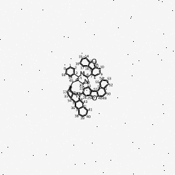 c1ccc(C2N=C(c3cccc4oc5ccccc5c34)N=C3c4cc5c(cc4-n4c6cc(ccc6c6cc7ccccc7cc64)CC32)oc2ccc3ccccc3c25)cc1